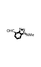 CNn1nnc2c(C=O)cccc21